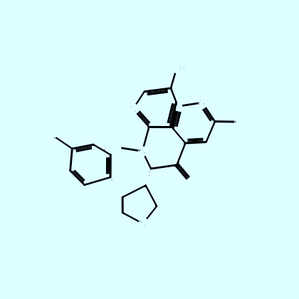 Cc1cc(C(=O)C([C@@H]2CNC[C@@H]2c2ccc(Cl)cc2)N(C)c2ccc(C#N)cn2)cnn1